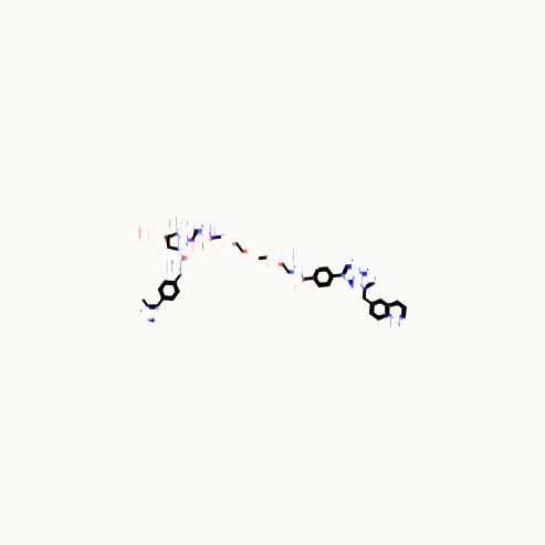 Cc1ncsc1-c1ccc(CNC(=O)[C@@H]2C[C@@H](O)CN2C(=O)[C@@H](NC(=O)COCCOCCOCCNC(=O)c2ccc(-c3cnc4ncc(Cc5ccc6ncccc6c5)n4n3)cc2F)C(C)(C)C)cc1